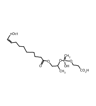 C=P(O)(OCCC(=O)O)OC(C)COC(=O)CCCCCCC/C=C\CCCCCCCC